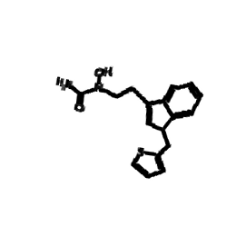 NC(=O)N(O)CCC1=CC(Cc2cccs2)c2ccccc21